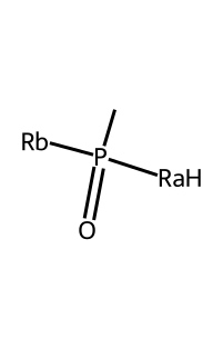 C[P](=O)([Rb])[RaH]